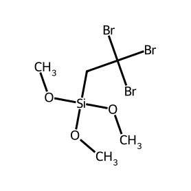 CO[Si](CC(Br)(Br)Br)(OC)OC